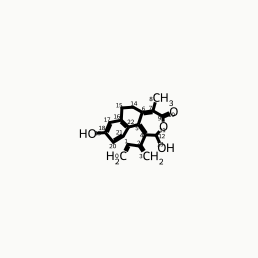 C=CC(=C)C1=C2C(=C(C)C(=O)OC1O)CCc1cc(O)ccc12